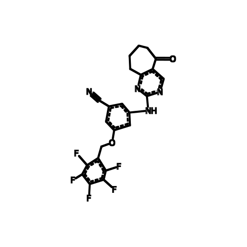 N#Cc1cc(Nc2ncc3c(n2)CCCCC3=O)cc(OCc2c(F)c(F)c(F)c(F)c2F)c1